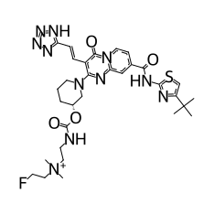 CC(C)(C)c1csc(NC(=O)c2ccn3c(=O)c(C=Cc4nnn[nH]4)c(N4CCC[C@@H](OC(=O)NCC[N+](C)(C)CCF)C4)nc3c2)n1